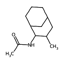 CC(=O)NC1C(C)CC2CCCC1C2